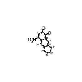 O=c1c(Cl)cc([N+](=O)[O-])c2[nH]c3ccccc3cc1-2